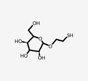 OCC1OC(OCCS)[C@@H](O)C(O)[C@H]1O